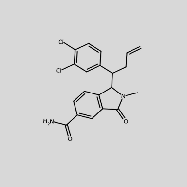 C=CCC(c1ccc(Cl)c(Cl)c1)C1c2ccc(C(N)=O)cc2C(=O)N1C